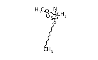 CCCCCCCCCCCCSC(=S)SC(C)(C#N)CCC(=O)OCC